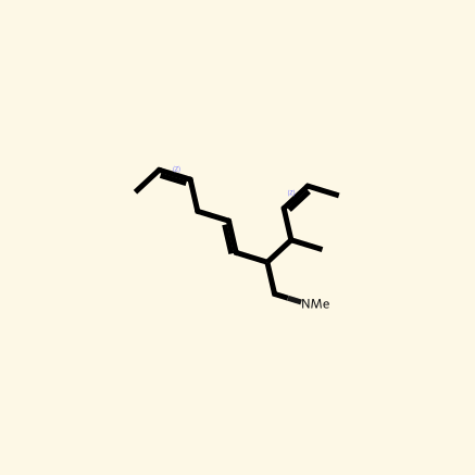 C/C=C\CC=CC(CNC)C(C)/C=C\C